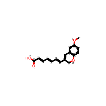 COc1ccc2c(c1)C=C(C=CC=CC=CC(=O)O)CO2